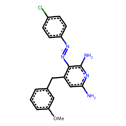 COc1cccc(Cc2cc(N)nc(N)c2/N=N/c2ccc(Cl)cc2)c1